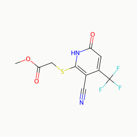 COC(=O)CSc1[nH]c(=O)cc(C(F)(F)F)c1C#N